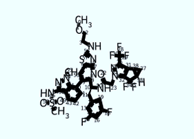 COCCNc1nc2nc([C@H](Cc3cc(F)cc(F)c3)NC(=O)Cn3nc(C(F)(F)F)c4c3C(F)(F)[C@@H]3CC43)c(-c3cccc4c(NS(C)(=O)=O)nn(C)c34)cc2s1